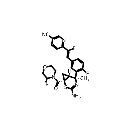 CC(C)C1COCCN1C(=O)[C@]12C[C@H]1[C@@](C)(c1cc(/C=C(\F)c3ccc(C#N)cn3)ccc1F)N=C(N)S2